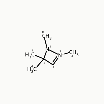 CN1[N+](C)=CC1(C)C